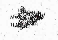 COP(=O)(S)OCC1O[C@@H](n2cnc3c(=O)[nH]c(N)nc32)C[C@H]1OP(=O)(S)OCC1O[C@@H](n2cc(C)c(=O)[nH]c2=O)C[C@H]1OP(=O)(S)OCC1O[C@@H](n2cnc3c(=O)[nH]c(N)nc32)C[C@H]1OP(=O)(S)OCC1O[C@@H](n2cc(C)c(=O)[nH]c2=O)C[C@H]1OP(=S)(S)OCC1O[C@@H](n2ccc(N)nc2=O)C[C@H]1C(C)C